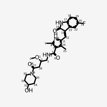 COC(CNC(=O)c1c(C)[nH]c(/C=C2\C(=O)Nc3ccc(F)cc32)c1C)CC(=O)N1CCC(O)CC1